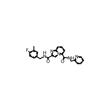 Cc1cc(CNC(=O)c2cn3c(C(=O)NCc4ccccn4)cccc3n2)ccc1F